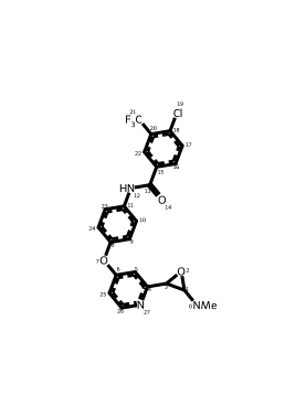 CNC1OC1c1cc(Oc2ccc(NC(=O)c3ccc(Cl)c(C(F)(F)F)c3)cc2)ccn1